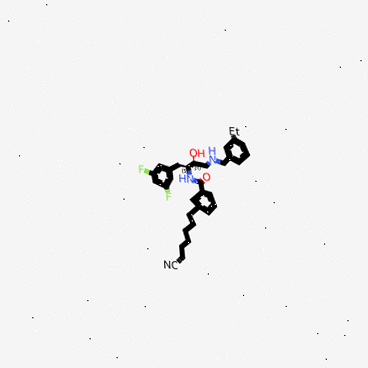 CCc1cccc(CNC[C@@H](O)[C@H](Cc2cc(F)cc(F)c2)NC(=O)c2cccc(CCCCCCC#N)c2)c1